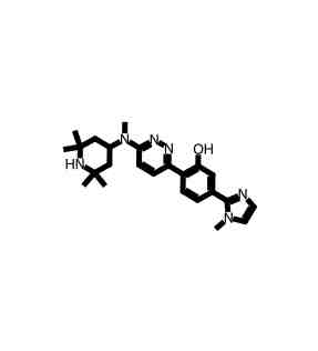 CN(c1ccc(-c2ccc(-c3nccn3C)cc2O)nn1)C1CC(C)(C)NC(C)(C)C1